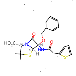 CC1(C)S[C@H]2N(C(=O)[C@]2(NC(=O)Cc2cccs2)OCc2ccccc2)[C@H]1C(=O)O